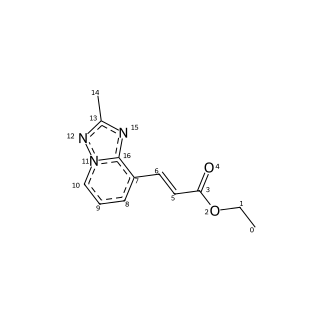 CCOC(=O)C=Cc1cccn2nc(C)nc12